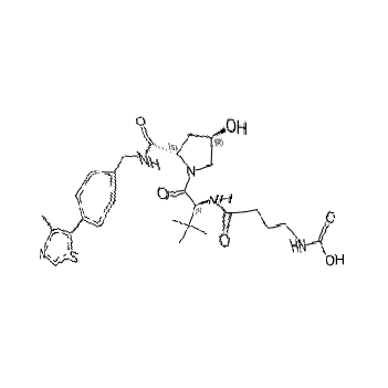 Cc1ncsc1-c1ccc(CNC(=O)[C@@H]2C[C@@H](O)CN2C(=O)[C@@H](NC(=O)CCCNC(=O)O)C(C)(C)C)cc1